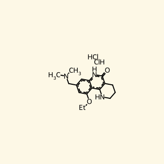 CCOc1cc(CN(C)C)cc2[nH]c(=O)c3c(c12)NCCC3.Cl.Cl